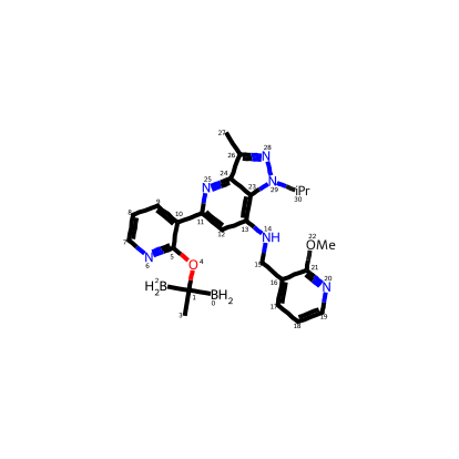 BC(B)(C)Oc1ncccc1-c1cc(NCc2cccnc2OC)c2c(n1)c(C)nn2C(C)C